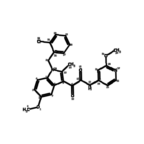 COc1ccc2c(c1)c(C(=O)C(=O)Nc1ccnc(OC)c1)c(C)n2Cc1ccccc1Cl